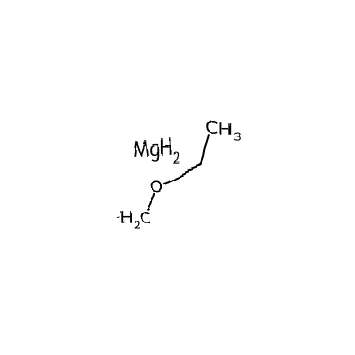 [CH2]OCC.[MgH2]